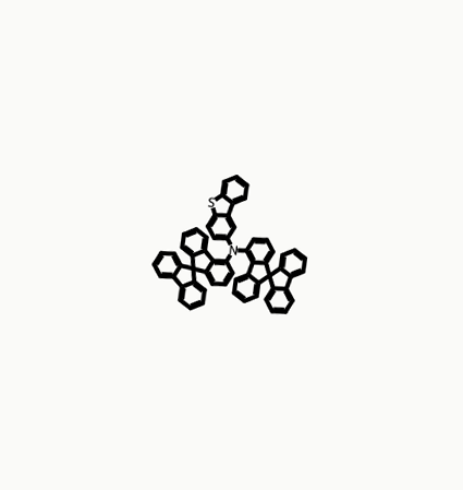 c1ccc2c(c1)-c1ccccc1C21c2ccccc2-c2c(N(c3ccc4sc5ccccc5c4c3)c3cccc4c3-c3ccccc3C43c4ccccc4-c4ccccc43)cccc21